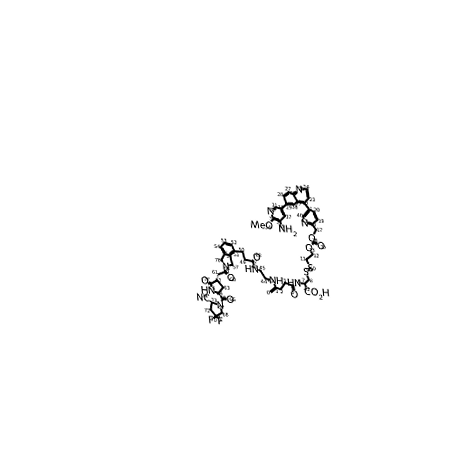 C=C(CCC(=O)NC(CSSCCOC(=O)OCc1ccc(-c2ccnc3ccc(-c4cnc(OC)c(N)c4)cc23)cn1)C(=O)O)NCCNC(=O)CCc1cccc2c1CN(C(=O)C[C@@H]1C[C@@H](C(=O)N3CC(F)(F)C[C@H]3C#N)NC1=O)C2